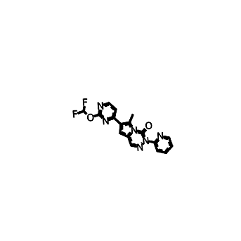 Cc1c(-c2ccnc(OC(F)F)n2)cc2cnn(-c3ccccn3)c(=O)n12